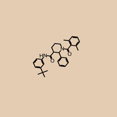 Cc1cccc(C)c1C(=O)N1CCCC(C(=O)Nc2cccc(C(C)(C)C)c2)C1c1ccccc1